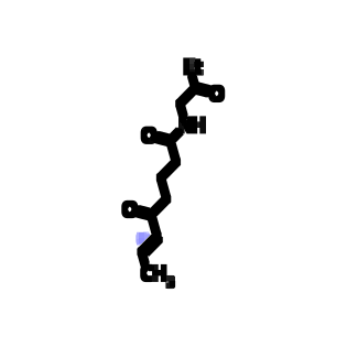 C/C=C/C(=O)CCCC(=O)NCC(=O)CC